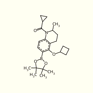 CC1CCc2c(ccc(B3OC(C)(C)C(C)(C)O3)c2OC2CCC2)N1C(=O)C1CC1